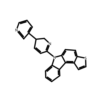 C1=CC(c2cccnc2)CN=C1n1c2ccccc2c2c3ccsc3ccc21